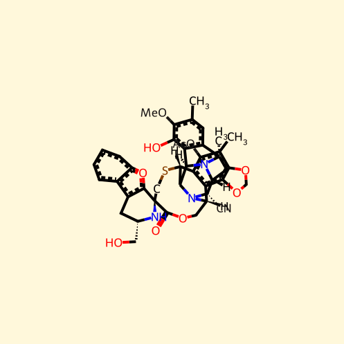 COc1c(C)cc2c(c1O)[C@@H]1C3[C@@H]4SC[C@]5(N[C@H](CO)Cc6c5oc5ccccc65)C(=O)OC[C@@H](c5c6c(c(C)c(OC(C)=O)c54)OCO6)N3[C@@H](C#N)[C@H]3C[C@@]2(C)N13